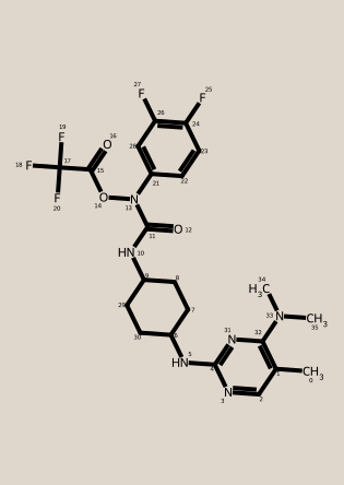 Cc1cnc(NC2CCC(NC(=O)N(OC(=O)C(F)(F)F)c3ccc(F)c(F)c3)CC2)nc1N(C)C